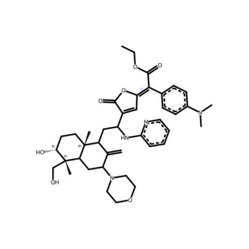 C=C1C(N2CCOCC2)CC2[C@](C)(CC[C@@H](O)[C@@]2(C)CO)C1CC(Nc1ccccn1)C1=C/C(=C(/C(=O)OCC)c2ccc(N(C)C)cc2)OC1=O